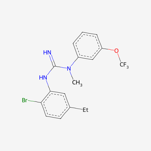 CCc1ccc(Br)c(NC(=N)N(C)c2cccc(OC(F)(F)F)c2)c1